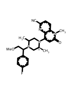 COCC(c1ccc(F)cc1)N1C[C@H](C)N(c2cc(=O)n(C)c3ccc(C#N)nc23)CC1C